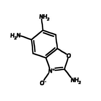 Nc1cc2oc(N)[n+]([O-])c2cc1N